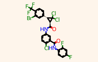 O=C(Nc1ccc(F)cc1F)c1cc(NC(=O)[C@H]2[C@H](c3ccc(C(F)(F)F)c(Br)c3)C2(Cl)Cl)ccc1Cl